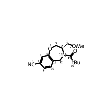 COC[C@H]1COc2cc(C#N)ccc2CN1C(=O)C(C)(C)C